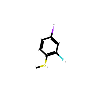 CSc1ccc(I)cc1F